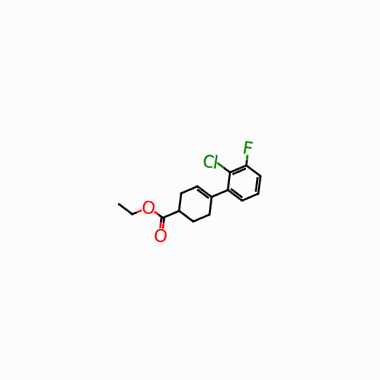 CCOC(=O)C1CC=C(c2cccc(F)c2Cl)CC1